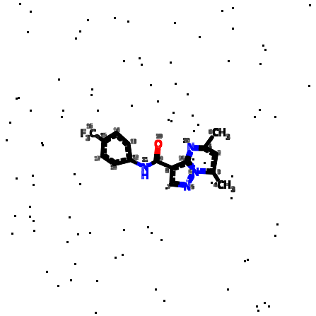 Cc1cc(C)n2ncc(C(=O)Nc3ccc(C(F)(F)F)cc3)c2n1